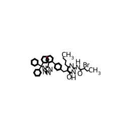 CCCCc1nc(NC(=O)C(Br)CC)[nH]c(=O)c1Cc1ccc(-c2ccccc2-c2nnnn2C(c2ccccc2)(c2ccccc2)c2ccccc2)cc1